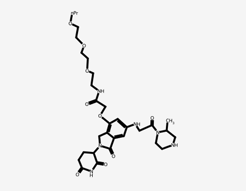 CCCOCCOCCOCCNC(=O)COc1cc(NCC(=O)N2CCNCC2C)cc2c1CN(C1CCC(=O)NC1=O)C2=O